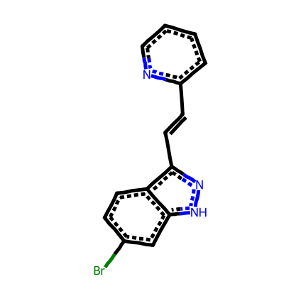 Brc1ccc2c(/C=C/c3ccccn3)n[nH]c2c1